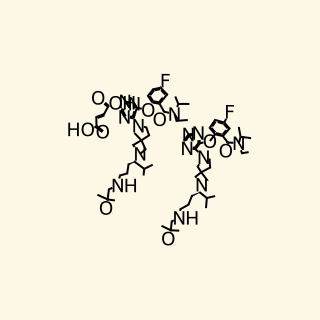 CCN(C(=O)c1cc(F)ccc1Oc1nncnc1N1CCC2(C1)CN([C@H](CCCNCC(C)(C)OC)C(C)C)C2)C(C)C.CCN(C(=O)c1cc(F)ccc1Oc1nncnc1N1CCC2(C1)CN([C@H](CCCNCC(C)(C)OC)C(C)C)C2)C(C)C.O=C(O)/C=C/C(=O)O